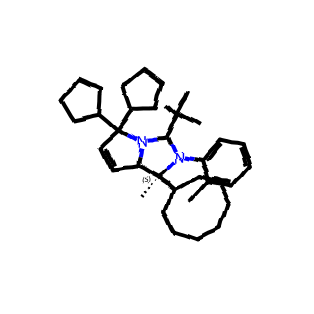 Cc1ccccc1N1C(C(C)(C)C)N2C(C=CC2(C2CCCC2)C2CCCC2)[C@]1(C)C1CCCCCCC1